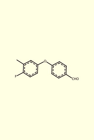 Cc1cc(Oc2ccc(C=O)cc2)ccc1F